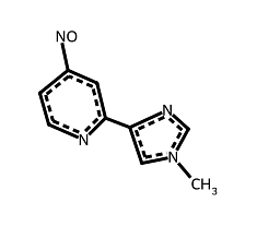 Cn1cnc(-c2cc(N=O)ccn2)c1